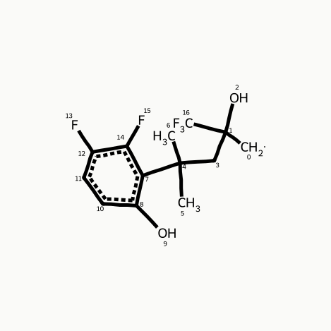 [CH2]C(O)(CC(C)(C)c1c(O)ccc(F)c1F)C(F)(F)F